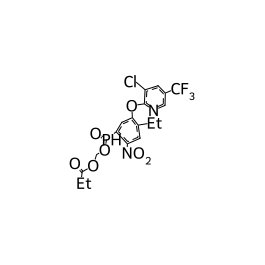 CCC(=O)OCO[PH](=O)c1cc(Oc2ncc(C(F)(F)F)cc2Cl)c(CC)cc1[N+](=O)[O-]